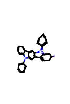 Ic1ccc2c3cc4c(cc3n(-c3ccccc3)c2c1)c1ccccc1n4-c1ccccc1